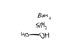 OO.[BaH2].[SrH2]